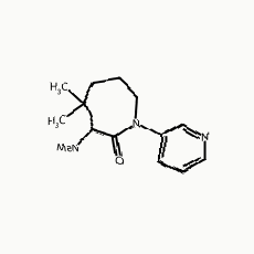 CNC1C(=O)N(c2cccnc2)CCCC1(C)C